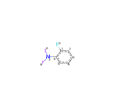 Fc1ccccc1N(I)I